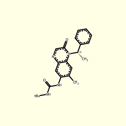 C[C@@H](c1ccccc1)n1c(=O)cnc2cc(NC(=O)NC(C)(C)C)c(C(F)(F)F)cc21